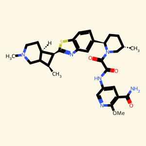 COc1ncc(NC(=O)C(=O)N2C[C@@H](C)CC[C@@H]2c2ccc3sc([C@@H]4[C@@H]5CCN(C)CC5[C@@H]4C)nc3c2)cc1C(N)=O